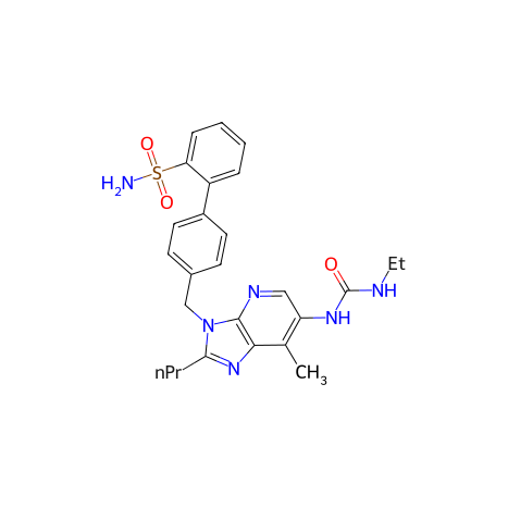 CCCc1nc2c(C)c(NC(=O)NCC)cnc2n1Cc1ccc(-c2ccccc2S(N)(=O)=O)cc1